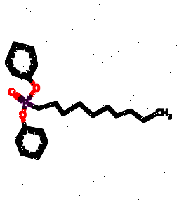 CCCCCCCCCCP(=O)(Oc1ccccc1)Oc1ccccc1